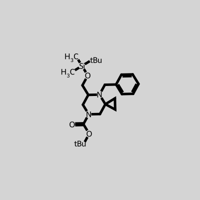 CC(C)(C)OC(=O)N1CC(CO[Si](C)(C)C(C)(C)C)N(Cc2ccccc2)C2(CC2)C1